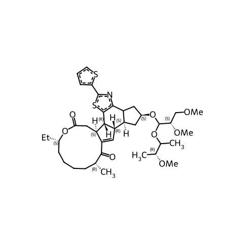 CC[C@H]1CCCC[C@@H](C)C(=O)C2=C[C@@H]3[C@@H](c4sc(-c5cccs5)nc4C4C[C@@H](OC(OC(C)[C@@H](C)OC)[C@H](COC)OC)C[C@H]43)[C@@H]2CC(=O)O1